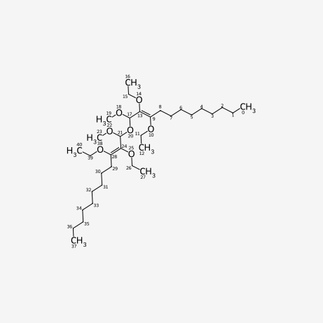 CCCCCCCCCC(OCC)=C(OCC)C(OC)OC(OC)C(OCC)=C(CCCCCCCCC)OCC